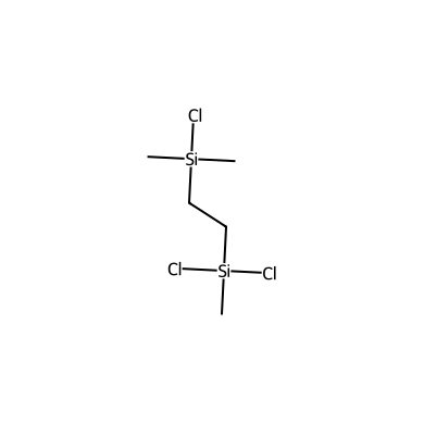 C[Si](C)(Cl)CC[Si](C)(Cl)Cl